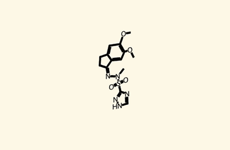 COc1cc2c(cc1OC)/C(=N\N(C)S(=O)(=O)c1nc[nH]n1)CC2